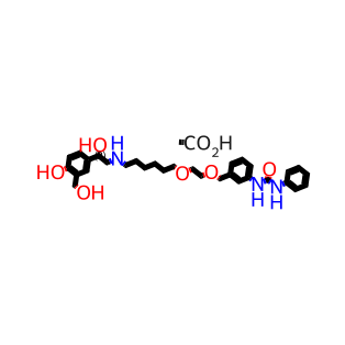 CC(=O)O.O=C(Nc1ccccc1)Nc1cccc(COCCOCCCCCCNC[C@H](O)c2ccc(O)c(CO)c2)c1